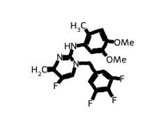 C=C1N=C(Nc2cc(OC)c(OC)cc2C)N(Cc2cc(F)c(F)c(F)c2)C=C1F